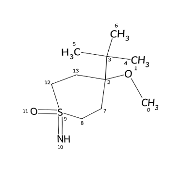 COC1(C(C)(C)C)CCS(=N)(=O)CC1